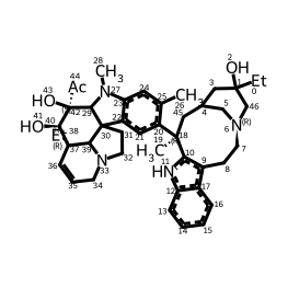 CCC1(O)CC2C[N@](CCc3c([nH]c4ccccc34)[C@@](C)(c3cc4c(cc3C)N(C)C3C45CCN4CC=C[C@](CC)(C45)[C@@H](O)[C@]3(O)C(C)=O)C2)C1